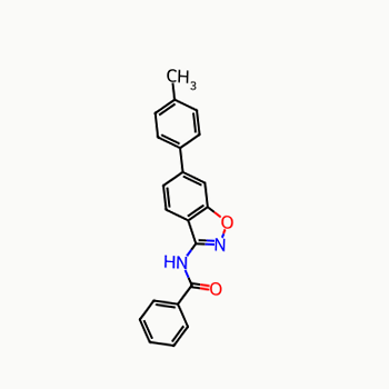 Cc1ccc(-c2ccc3c(NC(=O)c4ccccc4)noc3c2)cc1